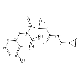 CC1(CC(=O)NCC2CC2)NC(=N)N(Cc2cccc(O)c2)C1=O